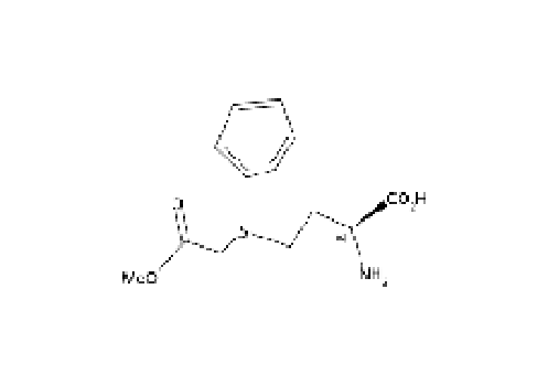 COC(=O)CSCC[C@H](N)C(=O)O.c1ccccc1